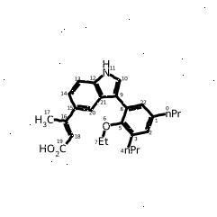 CCCc1cc(CCC)c(OCC)c(-c2c[nH]c3ccc(C(C)=CC(=O)O)cc23)c1